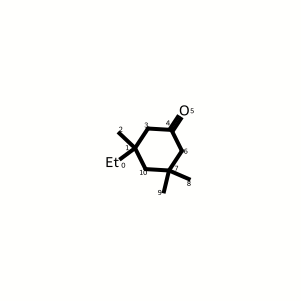 CCC1(C)CC(=O)CC(C)(C)C1